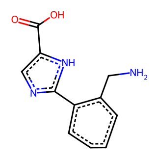 NCc1ccccc1-c1ncc(C(=O)O)[nH]1